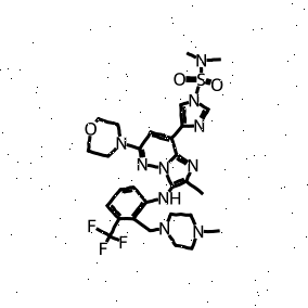 Cc1nc2c(-c3cn(S(=O)(=O)N(C)C)cn3)cc(N3CCOCC3)nn2c1Nc1cccc(C(F)(F)F)c1CN1CCN(C)CC1